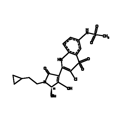 CC(C)(C)[C@H]1C(O)=C(C2=C(Cl)S(=O)(=O)c3cc(NS(C)(=O)=O)ccc3N2)C(=O)N1CCC1CC1